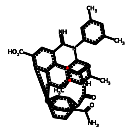 Cc1cc(C)cc(N(C(=N)c2cc(C(=O)O)c3c4ccc(C(N)=O)c5c6ccc(c7ccc(c(=O)[nH]c6=O)c2c73)c45)c2cc(C)cc(C)c2)c1